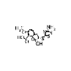 COc1ccc2c(c1C(=O)O)OB(O)[C@@H](Sc1nc(N)ns1)C2